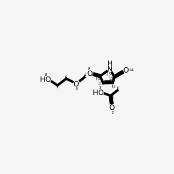 CC(=O)O.COCCO.O=C1C=CC(=O)N1